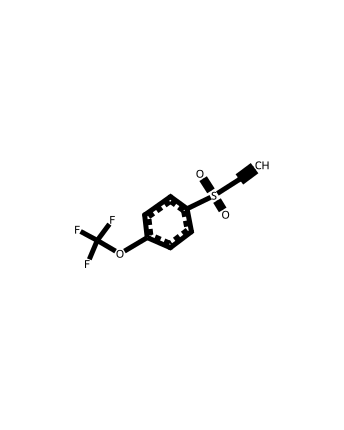 C#CS(=O)(=O)c1ccc(OC(F)(F)F)cc1